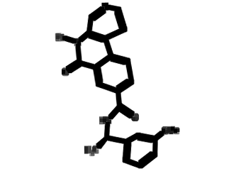 CCn1c(=O)c2cc(C(=O)N[C@H](C)c3cccc(OC)c3)ccc2c2ccncc21